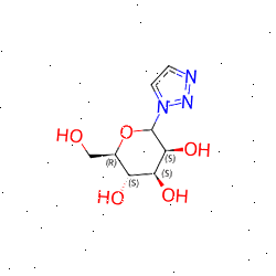 OC[C@H]1OC(n2ccnn2)[C@@H](O)[C@@H](O)[C@@H]1O